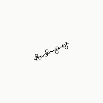 C=C(C)C(=O)OCCCOC(=O)CCCCC(=O)OCCCOC(=O)C(=C)C